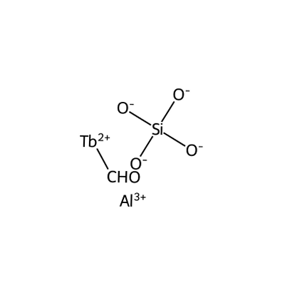 O=[CH][Tb+2].[Al+3].[O-][Si]([O-])([O-])[O-]